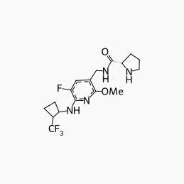 COc1nc(NC2CCC2C(F)(F)F)c(F)cc1CNC(=O)[C@@H]1CCCN1